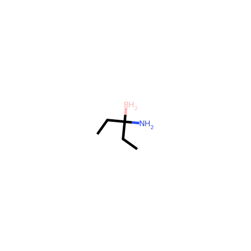 BC(N)(CC)CC